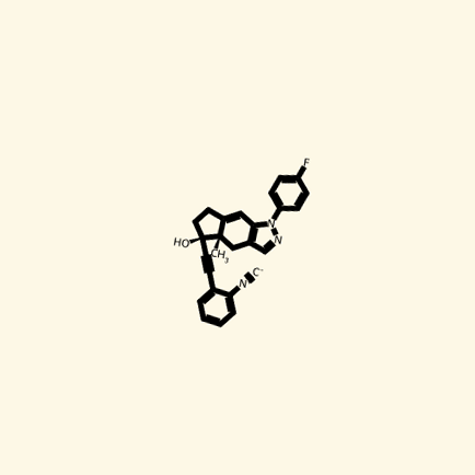 [C-]#[N+]c1ccccc1C#C[C@]1(O)CCC2=Cc3c(cnn3-c3ccc(F)cc3)C[C@@]21C